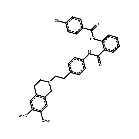 COc1cc2c(cc1OC)CN(CCc1ccc(NC(=O)c3ccccc3NC(=O)c3ccc(Cl)cc3)cc1)CC2